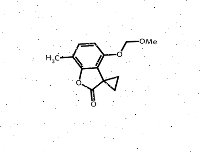 COCOc1ccc(C)c2c1C1(CC1)C(=O)O2